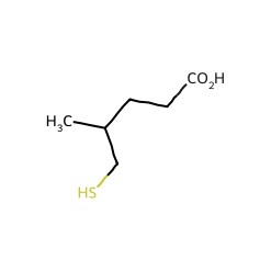 CC(CS)CCC(=O)O